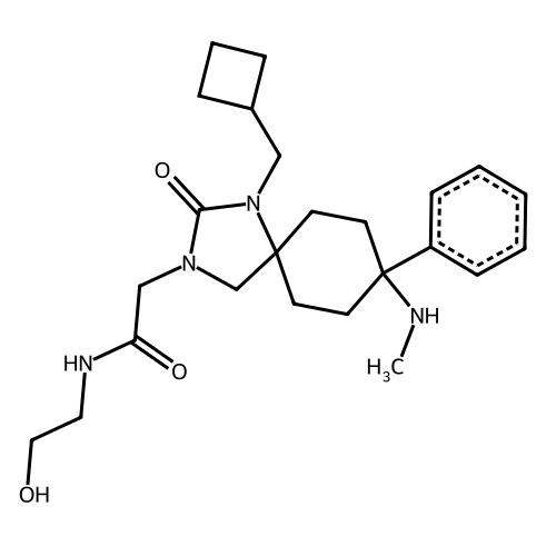 CNC1(c2ccccc2)CCC2(CC1)CN(CC(=O)NCCO)C(=O)N2CC1CCC1